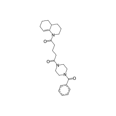 O=C(CCCC(=O)N1CCCC2CCCC=C21)N1CCN(C(=O)c2ccccc2)CC1